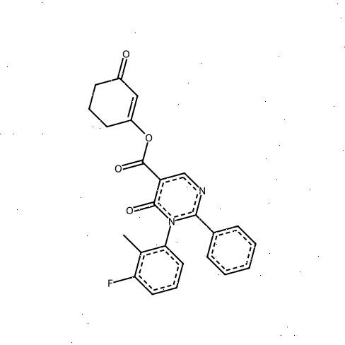 Cc1c(F)cccc1-n1c(-c2ccccc2)ncc(C(=O)OC2=CC(=O)CCC2)c1=O